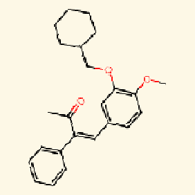 COc1ccc(C=C(C(C)=O)c2ccccc2)cc1OCC1CCCCC1